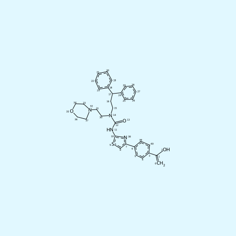 C=C(O)c1ccc(-c2csc(NC(=O)N(CCC(c3ccccc3)c3ccccc3)CCN3CCOCC3)n2)cc1